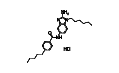 CCCCCCn1c(N)nc2cc(NC(=O)c3ccc(CCCCC)cc3)ccc21.Cl